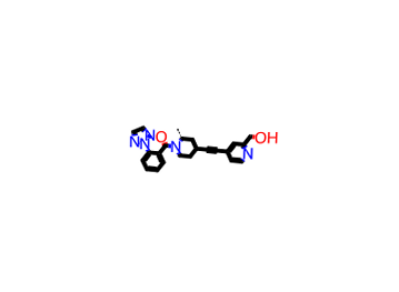 C[C@@H]1CC(C#Cc2ccnc(CO)c2)CCN1C(=O)c1ccccc1-n1nccn1